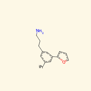 CC(C)c1cc(CCCN)cc(-c2ccco2)c1